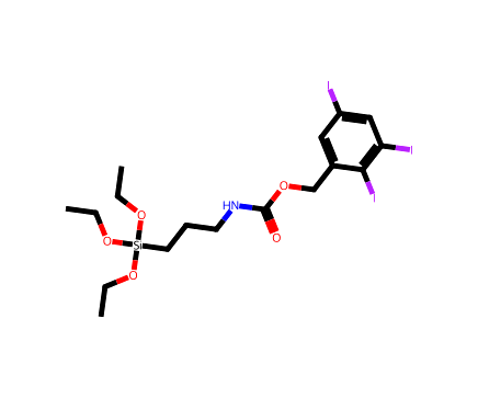 CCO[Si](CCCNC(=O)OCc1cc(I)cc(I)c1I)(OCC)OCC